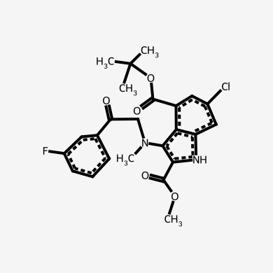 COC(=O)c1[nH]c2cc(Cl)cc(C(=O)OC(C)(C)C)c2c1N(C)CC(=O)c1cccc(F)c1